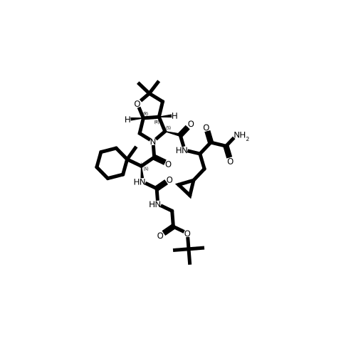 CC(C)(C)OC(=O)CNC(=O)N[C@H](C(=O)N1C[C@@H]2OC(C)(C)C[C@@H]2[C@H]1C(=O)NC(CC1CC1)C(=O)C(N)=O)C1(C)CCCCC1